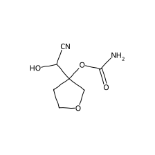 N#CC(O)C1(OC(N)=O)CCOC1